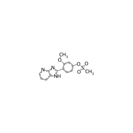 COc1cc(OS(C)(=O)=O)ccc1-c1nc2ncccc2[nH]1